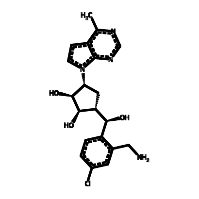 Cc1ncnc2c1ccn2[C@@H]1C[C@H]([C@@H](O)c2ccc(Cl)cc2CN)[C@@H](O)[C@H]1O